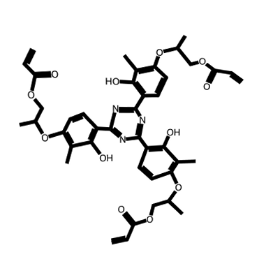 C=CC(=O)OCC(C)Oc1ccc(-c2nc(-c3ccc(OC(C)COC(=O)C=C)c(C)c3O)nc(-c3ccc(OC(C)COC(=O)C=C)c(C)c3O)n2)c(O)c1C